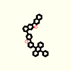 c1ccc(-c2c3ccccc3c(-c3ccc4oc5cc(-c6cccc7cc8c(cc67)oc6cc7ccccc7cc68)ccc5c4c3)c3ccccc23)cc1